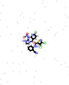 N#Cc1ccccc1NC(=O)c1snc(Cl)c1Cl.O=[N+]([O-])/N=C1\NCCN1Cc1ccc(Cl)nc1